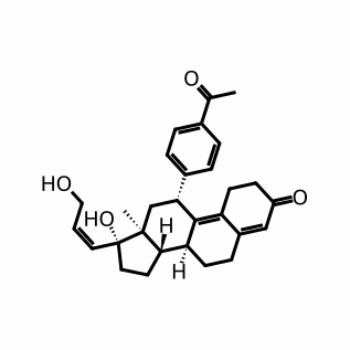 CC(=O)c1ccc([C@H]2C[C@@]3(C)[C@@H](CC[C@@]3(O)/C=C\CO)[C@@H]3CCC4=CC(=O)CCC4=C32)cc1